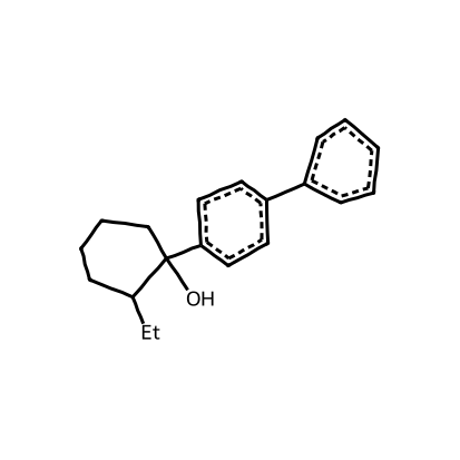 CCC1CCCCC1(O)c1ccc(-c2ccccc2)cc1